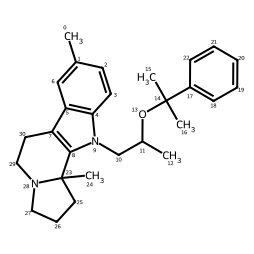 Cc1ccc2c(c1)c1c(n2CC(C)OC(C)(C)c2ccccc2)C2(C)CCCN2CC1